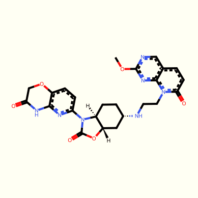 COc1ncc2ccc(=O)n(CCN[C@H]3CC[C@H]4[C@H](C3)OC(=O)N4c3ccc4c(n3)NC(=O)CO4)c2n1